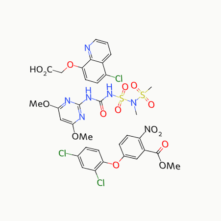 COC(=O)c1cc(Oc2ccc(Cl)cc2Cl)ccc1[N+](=O)[O-].COc1cc(OC)nc(NC(=O)NS(=O)(=O)N(C)S(C)(=O)=O)n1.O=C(O)COc1ccc(Cl)c2cccnc12